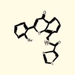 O=C(Nc1cccc2c(=O)cc(-c3ccccc3Br)oc12)c1cscn1